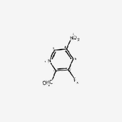 O=Cc1ncc([N+](=O)[O-])cc1F